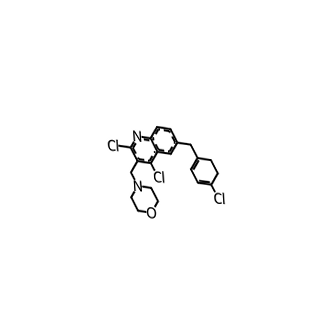 ClC1=CC=C(Cc2ccc3nc(Cl)c(CN4CCOCC4)c(Cl)c3c2)CC1